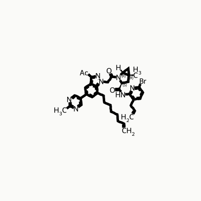 C=CCCCCCCc1cc(-c2cnc(C)nc2)cc2c(C(C)=O)nn(CC(=O)N3[C@H](C(=O)Nc4nc(Br)ccc4CC=C)C[C@@]4(C)C[C@@H]34)c12